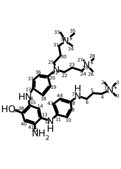 C[N+](C)(C)CCCNc1ccc(Nc2cc(Nc3ccc(N(CCC[N+](C)(C)C)CCC[N+](C)(C)C)cc3)c(O)cc2N)cc1